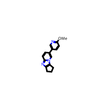 COc1ccc(-c2ccc3nc4c(n3c2)CCC4)cn1